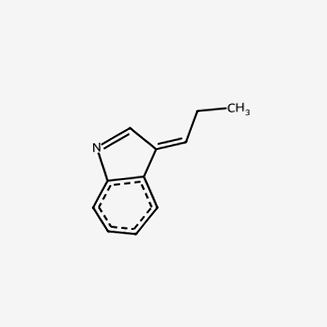 CCC=C1C=Nc2ccccc21